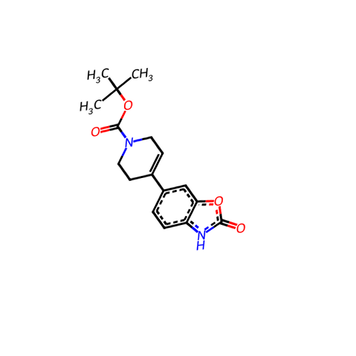 CC(C)(C)OC(=O)N1CC=C(c2ccc3[nH]c(=O)oc3c2)CC1